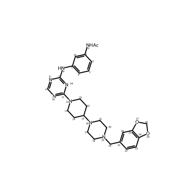 CC(=O)Nc1cccc(Nc2ncnc(N3CCC(N4CCN(Cc5ccc6c(c5)OCO6)CC4)CC3)n2)c1